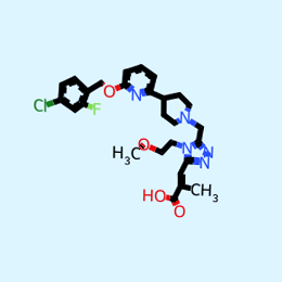 COCCn1c(/C=C(\C)C(=O)O)nnc1CN1CCC(c2cccc(OCc3ccc(Cl)cc3F)n2)CC1